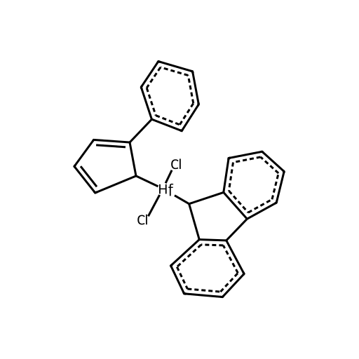 [Cl][Hf]([Cl])([CH]1C=CC=C1c1ccccc1)[CH]1c2ccccc2-c2ccccc21